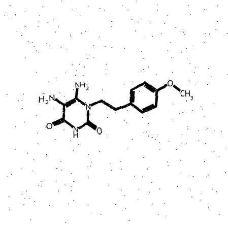 COc1ccc(CCn2c(N)c(N)c(=O)[nH]c2=O)cc1